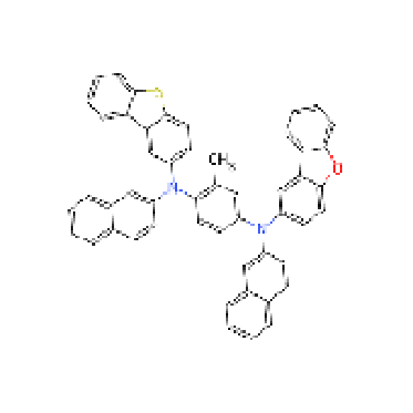 Cc1cc(N(c2ccc3ccccc3c2)c2ccc3oc4ccccc4c3c2)ccc1N(c1ccc2ccccc2c1)c1ccc2sc3ccccc3c2c1